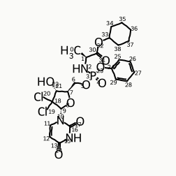 C[C@H](NP(=O)(OC[C@H]1O[C@H](n2ccc(=O)[nH]c2=O)C(Cl)(Cl)[C@@H]1O)Oc1ccccc1)C(=O)OC1CCCCC1